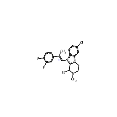 CCC1c2c(c3cc(Cl)ccc3n2/C=C(\C)c2ccc(F)c(F)c2)CCN1C